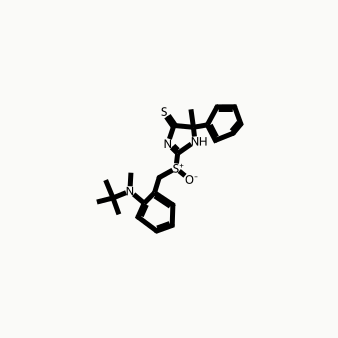 CN(c1ccccc1C[S+]([O-])C1=NC(=S)C(C)(c2ccccc2)N1)C(C)(C)C